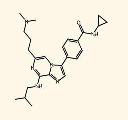 CC(C)CNc1nc(CCCN(C)C)cn2c(-c3ccc(C(=O)NC4CC4)cc3)cnc12